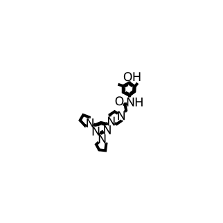 Cc1cc(NC(=O)CN2CCN(c3cc(N4CCCC4)nc(N4CCCC4)n3)CC2)cc(C)c1O